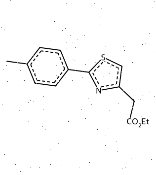 CCOC(=O)Cc1csc(-c2ccc(C)cc2)n1